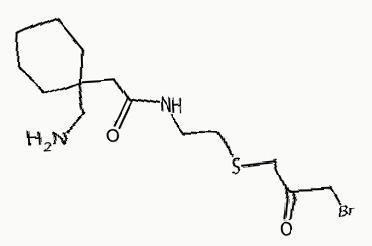 NCC1(CC(=O)NCCSCC(=O)CBr)CCCCC1